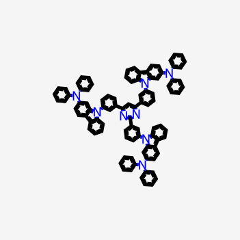 c1ccc(N(c2ccccc2)c2ccc3c4ccccc4n(-c4cccc(-c5cc(-c6cccc(-n7c8ccccc8c8ccc(N(c9ccccc9)c9ccccc9)cc87)c6)nc(-c6cccc(-n7c8ccccc8c8ccc(N(c9ccccc9)c9ccccc9)cc87)c6)n5)c4)c3c2)cc1